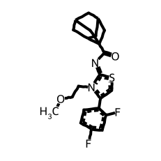 COCCn1c(-c2ccc(F)cc2F)csc1=NC(=O)C12CC3CC(CC1C3)C2